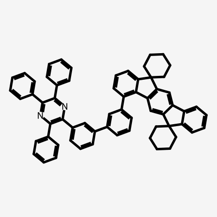 c1ccc(-c2nc(-c3ccccc3)c(-c3cccc(-c4cccc(-c5cccc6c5-c5cc7c(cc5C65CCCCC5)-c5ccccc5C75CCCCC5)c4)c3)nc2-c2ccccc2)cc1